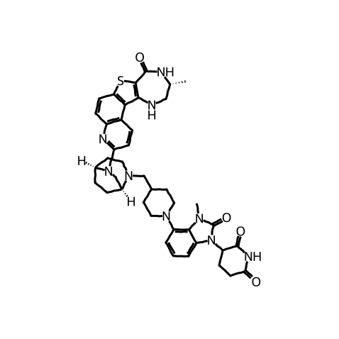 C[C@@H]1CNc2c(sc3ccc4nc(N5C[C@@H]6CC[C@H]5CCN6CC5CCN(c6cccc7c6n(C)c(=O)n7C6CCC(=O)NC6=O)CC5)ccc4c23)C(=O)N1